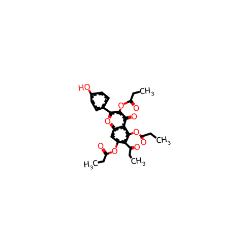 CCC(=O)Oc1cc2oc(-c3ccc(O)cc3)c(OC(=O)CC)c(=O)c2c(OC(=O)CC)c1C(=O)CC